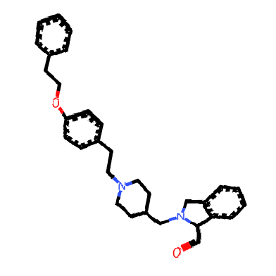 O=CC1c2ccccc2CN1CC1CCN(CCc2ccc(OCCc3ccccc3)cc2)CC1